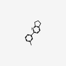 Cc1cccc(-c2ccc3c(n2)CCC3)c1